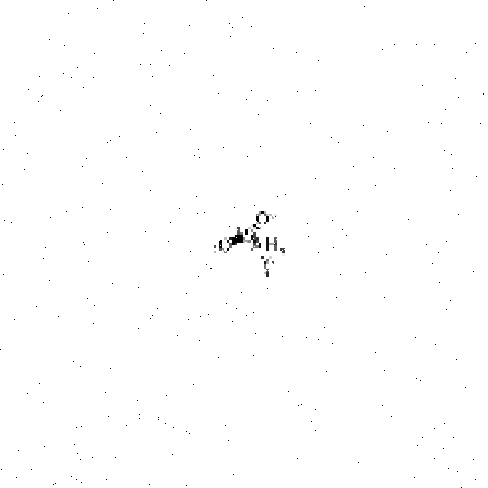 O=[Si]=O.[AlH3].[Y]